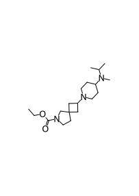 CCOC(=O)N1CCC2(CC(N3CCC(N(C)C(C)C)CC3)C2)C1